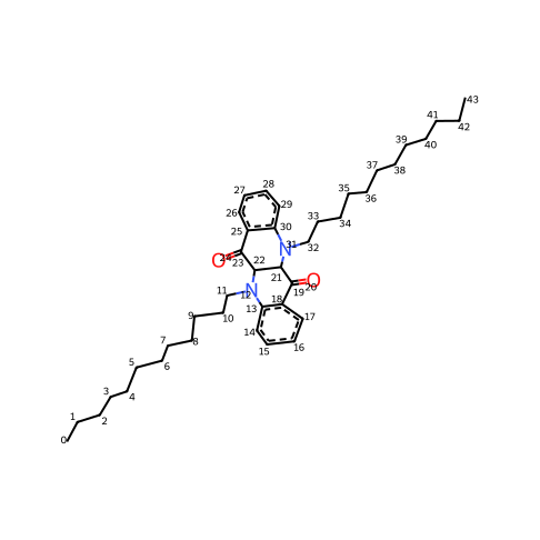 CCCCCCCCCCCCN1c2ccccc2C(=O)C2C1C(=O)c1ccccc1N2CCCCCCCCCCCC